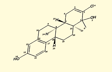 CC1(O)C(Cl)=CC[C@H]2[C@@H]3CCc4cc(O)ccc4[C@H]3CC[C@@]21C